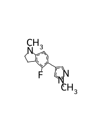 CN1CCc2c1ccc(-c1cnn(C)c1)c2F